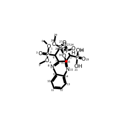 COP(=O)(OC)C(c1nc2ccccc2nc1C(P(=O)(O)O)P(=O)(O)O)P(=O)(OC)OC